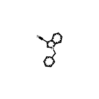 N#Cc1cn(Cc2ccccc2)c2cc[c]cc12